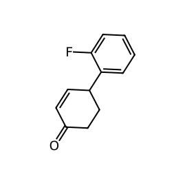 O=C1C=CC(c2ccccc2F)CC1